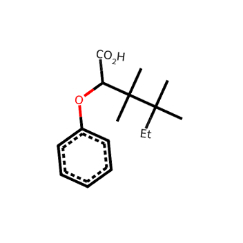 CCC(C)(C)C(C)(C)C(Oc1ccccc1)C(=O)O